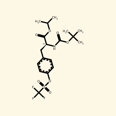 CC(C)OC(=O)[C@H](Cc1ccc(OS(=O)(=O)C(F)(F)F)cc1)NC(=O)OC(C)(C)C